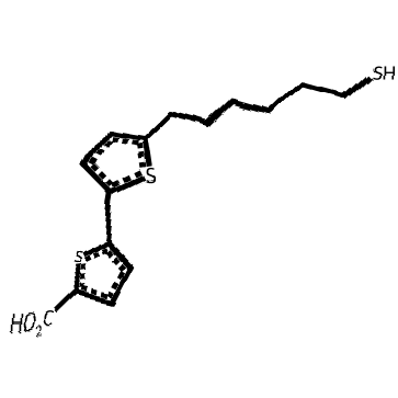 O=C(O)c1ccc(-c2ccc(CCCCCCS)s2)s1